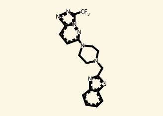 FC(F)(F)c1nnc2ccc(N3CCN(Cc4nc5ccccc5s4)CC3)nn12